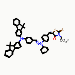 CC1(C)c2ccccc2-c2ccc(N(c3ccc(/C=N/N(c4ccccc4)c4ccc(/C=C5/SC(=S)N(CC(=O)O)C5=O)cc4)cc3)c3ccc4c(c3)C(C)(C)c3ccccc3-4)cc21